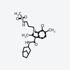 Cc1ccc2c(C(=O)NC3CC4CCC(C4)C3)c(C)n(CCCNS(C)(=O)=O)c2c1Cl